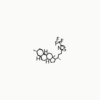 C[C@H]1CC[C@@H]2C3CC[C@@]4(C)C(CCC4[C@H](C)CCc4nc(C(F)(F)F)cs4)[C@@H]3CC[C@@H]2C1